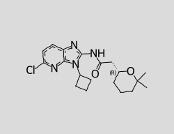 CC1(C)CCC[C@H](CC(=O)Nc2nc3ccc(Cl)nc3n2C2CCC2)O1